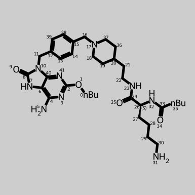 CCCCOc1nc(N)c2[nH]c(=O)n(Cc3ccc(CN4CCC(CCNC(=O)[C@H](CCCCN)NC(=O)CCCC)CC4)cc3)c2n1